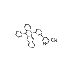 N#Cc1cncc(-c2cccc(-c3c4ccccc4c(-c4ccccc4)c4cc5ccccc5cc34)c2)c1